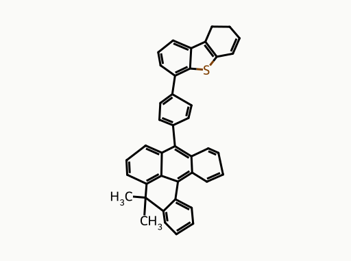 CC1(C)c2ccccc2-c2c3ccccc3c(-c3ccc(-c4cccc5c6c(sc45)C=CCC6)cc3)c3cccc1c23